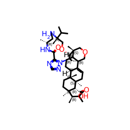 CC[C@@H](C)NC(=O)c1ncnn1[C@@H]1C[C@@]23COC[C@](C)([C@@H]2CC[C@H]2C3=CC[C@@]3(C)[C@H](C(=O)O)[C@@](C)([C@H](C)C(C)C)CC[C@]23C)[C@H]1OC[C@](C)(N)C(C)C